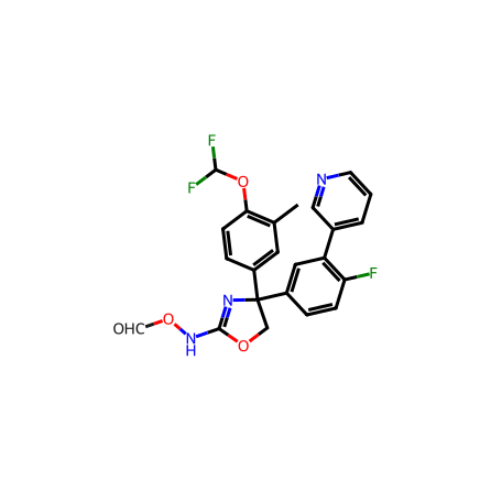 Cc1cc(C2(c3ccc(F)c(-c4cccnc4)c3)COC(NOC=O)=N2)ccc1OC(F)F